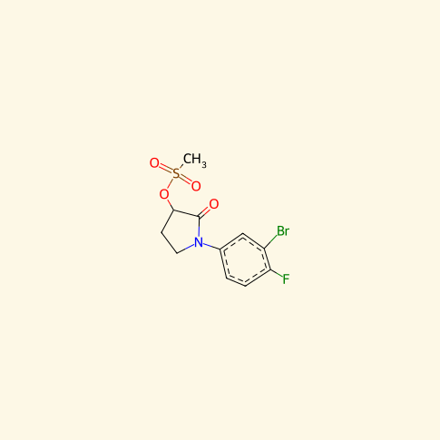 CS(=O)(=O)OC1CCN(c2ccc(F)c(Br)c2)C1=O